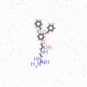 N=C(N)NCCNCC(O)COc1ccc(OCc2ccccc2)c(OCc2ccccc2)c1